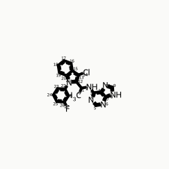 CC(Nc1ncnc2[nH]cnc12)c1c(Cl)c2ccccc2n1-c1cccc(F)c1